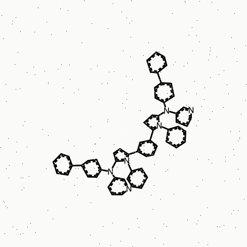 c1ccc(-c2ccc(N(c3cccnc3)c3ccc(-c4cccc(-c5ccc(N(c6ccc(-c7ccccc7)cc6)c6cccnc6)n5-c5ccccc5)c4)n3-c3ccccc3)cc2)cc1